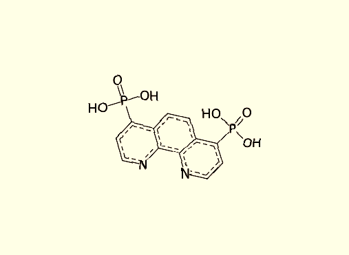 O=P(O)(O)c1ccnc2c1ccc1c(P(=O)(O)O)ccnc12